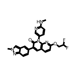 CNc1ccc(-n2c(=O)c(-c3ccc4nn(C)cc4c3)cc3ccc(OCC(F)F)nc32)cn1